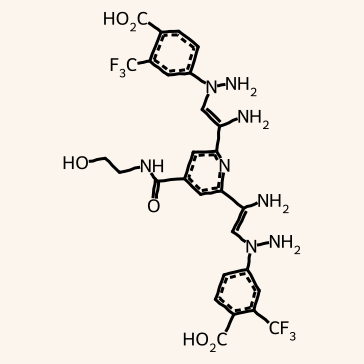 N/C(=C\N(N)c1ccc(C(=O)O)c(C(F)(F)F)c1)c1cc(C(=O)NCCO)cc(/C(N)=C/N(N)c2ccc(C(=O)O)c(C(F)(F)F)c2)n1